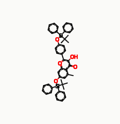 Cc1cc(O[Si](c2ccccc2)(c2ccccc2)C(C)(C)C)cc2oc(-c3ccc(O[Si](c4ccccc4)(c4ccccc4)C(C)(C)C)cc3)c(O)c(=O)c12